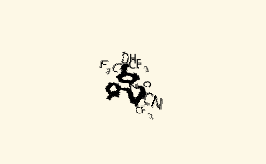 Cc1cccc(-c2cc(C(F)(F)F)c(C#N)c(=O)n2-c2ccc(C(O)(C(F)(F)F)C(F)(F)F)cc2)c1